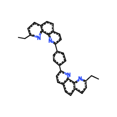 CCc1ccc2ccc3ccc(-c4ccc(-c5ccc6ccc7ccc(CC)nc7c6n5)cc4)nc3c2n1